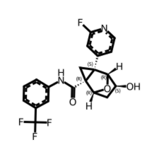 O=C(Nc1cccc(C(F)(F)F)c1)[C@]12C[C@@]1(c1ccnc(F)c1)[C@H]1O[C@@H]2C[C@@H]1O